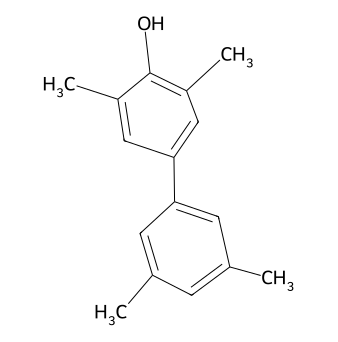 Cc1cc(C)cc(-c2cc(C)c(O)c(C)c2)c1